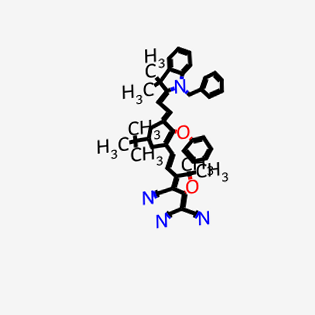 CC1(C)OC(=C(C#N)C#N)C(C#N)=C1/C=C/C1=C(Oc2ccccc2)C(=C/C=C2\N(Cc3ccccc3)c3ccccc3C2(C)C)/CC(C(C)(C)C)C1